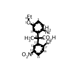 CCOc1ccc(N)c(C(C)(C(=O)O)c2cc([N+](=O)[O-])ccc2Cl)c1